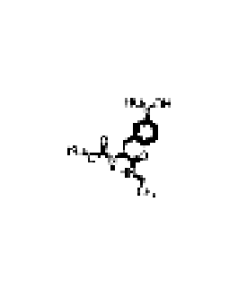 CN(C(=O)OC(C)(C)C)[C@@H](Cc1cccc(B(O)O)c1)C(=O)NCC(F)(F)F